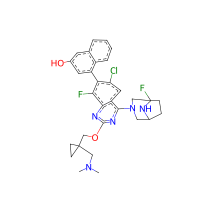 CN(C)CC1(COc2nc(N3CC4CCC(F)(C3)N4)c3cc(Cl)c(-c4cc(O)cc5ccccc45)c(F)c3n2)CC1